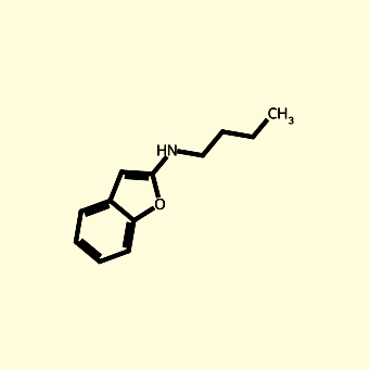 CCCCNc1cc2ccccc2o1